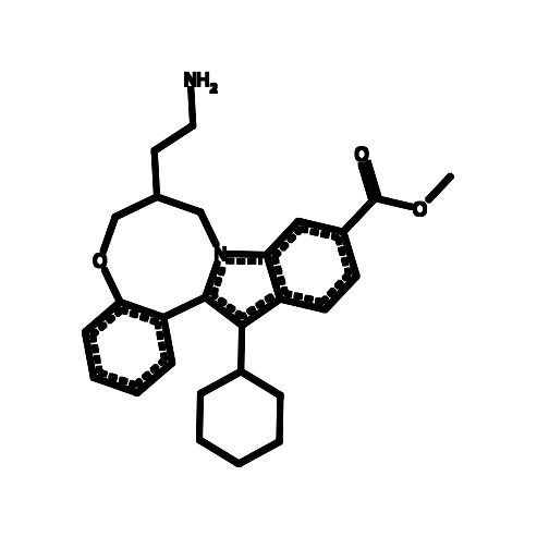 COC(=O)c1ccc2c(C3CCCCC3)c3n(c2c1)CC(CCN)COc1ccccc1-3